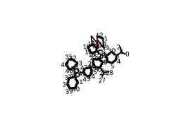 CC(C)c1cccc([Si](Cn2ccnc2)(c2ccccc2)c2cccc(C(C)C)c2)c1.c1ccc(B(c2ccccc2)c2ccccc2)cc1